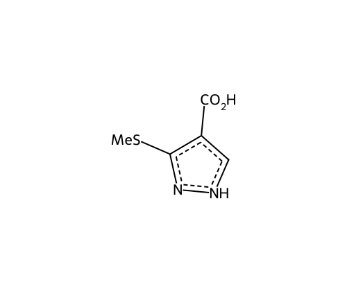 CSc1n[nH]cc1C(=O)O